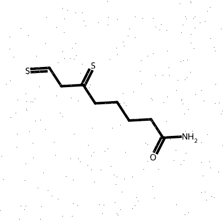 NC(=O)CCCCC(=S)CC=S